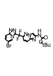 CC(C)(C)OC(=O)Nc1cn2nc(C(F)(F)c3nnc4ccc(Br)cn34)ccc2n1